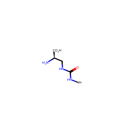 CC(C)NC(=O)NC[C@@H](N)C(=O)O